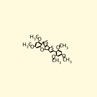 COc1cc(OC)c(-c2cc3c(s2)-c2sc4cc2C3Oc2cc(OC)cc(OC)c2-4)c(OC)c1